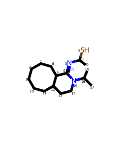 CC(S)/N=C1/C2CCCCCCC2CCN1C(C)C